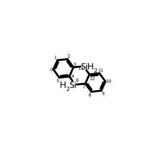 c1ccc2c(c1)[SiH2]c1ccccc1[SiH2]2